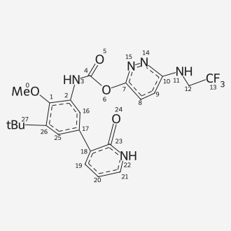 COc1c(NC(=O)Oc2ccc(NCC(F)(F)F)nn2)cc(-c2ccc[nH]c2=O)cc1C(C)(C)C